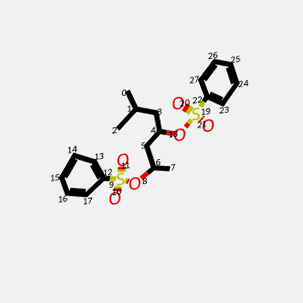 CC(C)CC(CC(C)OS(=O)(=O)c1ccccc1)OS(=O)(=O)c1ccccc1